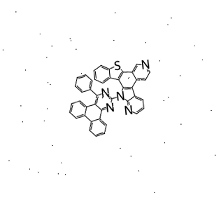 c1ccc(-c2nc(-n3c4ncccc4c4c5ccncc5c5sc6ccccc6c5c43)nc3c4ccccc4c4ccccc4c23)cc1